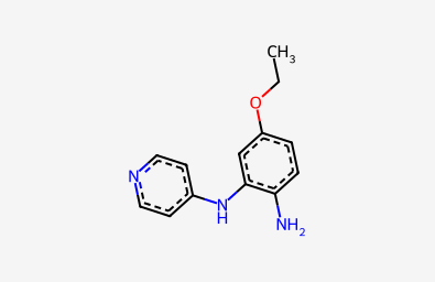 CCOc1ccc(N)c(Nc2ccncc2)c1